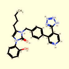 CCCCc1cn(-c2ccccc2O)c(=O)n1Cc1ccc(-c2cnccc2-c2nnn[nH]2)cc1